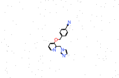 N#Cc1ccc(COc2cccnc2Cn2ccnc2)cc1